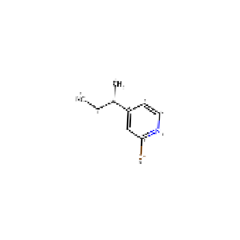 CC(CC#N)c1ccnc(Br)c1